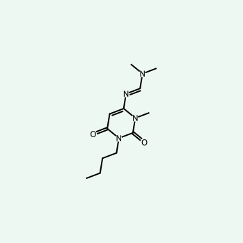 CCCCn1c(=O)cc(N=CN(C)C)n(C)c1=O